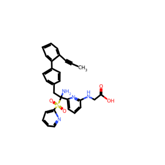 CC#Cc1ccccc1-c1ccc(CC(N)(c2cccc(NCC(=O)O)n2)S(=O)(=O)c2ccccn2)cc1